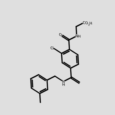 C=C(NCc1cccc(C)c1)c1ccc(C(=O)NCC(=O)O)c(Cl)c1